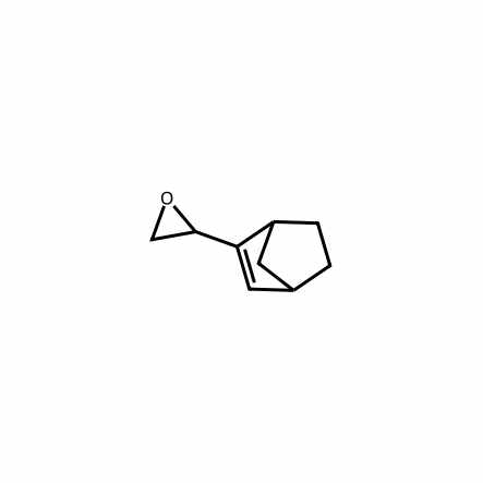 C1=C(C2CO2)C2CCC1C2